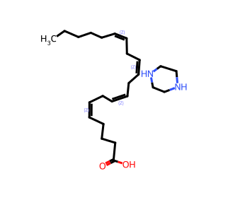 C1CNCCN1.CCCCC/C=C\C/C=C\C/C=C\C/C=C\CCCC(=O)O